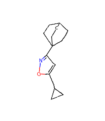 c1c(C23CCC(CC2)CC3)noc1C1CC1